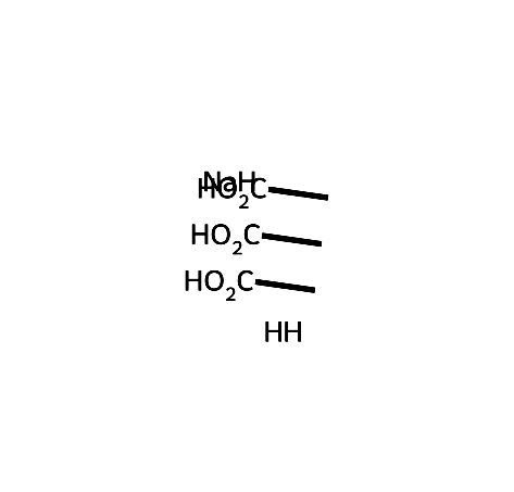 CC(=O)O.CC(=O)O.CC(=O)O.[HH].[NaH]